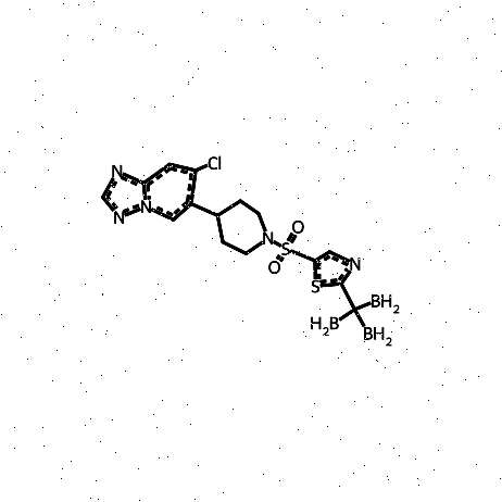 BC(B)(B)c1ncc(S(=O)(=O)N2CCC(c3cn4ncnc4cc3Cl)CC2)s1